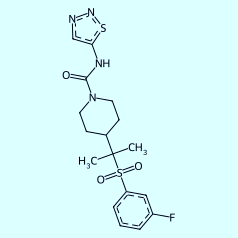 CC(C)(C1CCN(C(=O)Nc2cnns2)CC1)S(=O)(=O)c1cccc(F)c1